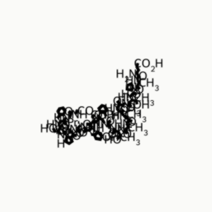 CC[C@H](C)[C@H](NC(=O)[C@H](CC(C)C)NC(=O)[C@H](Cc1ccc(O)cc1)NC(=O)[C@H](CC(=O)O)NC(=O)[C@H](Cc1ccccc1)NC(=O)CNC(=O)[C@@H](NC(=O)[C@H](C)NC(=O)[C@H](C)NC(=O)[C@@H](NC(=O)[C@H](C)NC(=O)[C@@H](NC(=O)[C@@H]1CCCN1C(=O)[C@H](C)NC(=O)[C@@H](N)CCC(=O)O)[C@@H](C)O)C(C)C)[C@@H](C)O)C(=O)N1CCC[C@H]1C(=O)N[C@@H](CO)C(=O)N[C@@H](Cc1ccccc1)C(=O)NCC(=O)NCC(=O)O